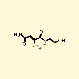 C/C(=C\C(N)=O)C(=O)NCCO